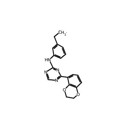 [CH2]Cc1cccc(Nc2ncnc(-c3cccc4c3OCCO4)n2)c1